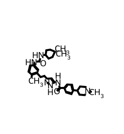 Cc1ccc(NC(=O)NC2CCC(C)(C)CC2)cc1CCc1cc(NC(=O)c2ccc(C3CCN(C)CC3)cc2)[nH]n1